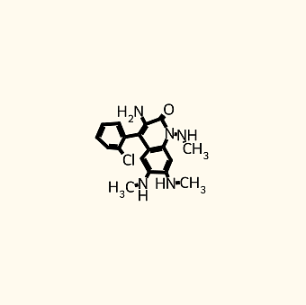 CNc1cc2c(-c3ccccc3Cl)c(N)c(=O)n(NC)c2cc1NC